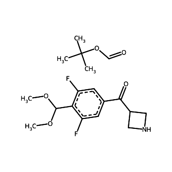 CC(C)(C)OC=O.COC(OC)c1c(F)cc(C(=O)C2CNC2)cc1F